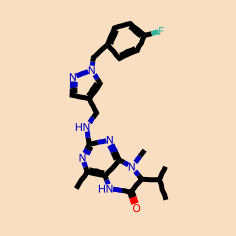 Cc1nc(NCc2cnn(Cc3ccc(F)cc3)c2)nc2c1NC(=O)C(C(C)C)N2C